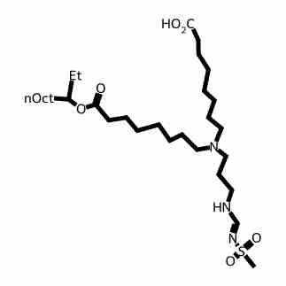 CCCCCCCCC(CC)OC(=O)CCCCCCCN(CCCCCCCC(=O)O)CCCN/C=N/S(C)(=O)=O